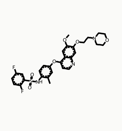 COc1cc2c(Oc3ccc(NS(=O)(=O)c4cc(F)ccc4F)c(C)c3)ccnc2cc1OCCN1CCOCC1